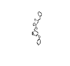 O=C(CC(F)=Cc1ccccc1)OCc1cccc(Oc2ccccc2)c1